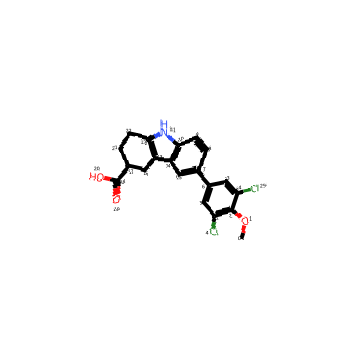 COc1c(Cl)cc(-c2ccc3[nH]c4c(c3c2)CC(C(=O)O)CC4)cc1Cl